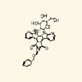 O=C1c2c(c3c4cccnc4n([C@@H]4O[C@H](CO)[C@@H](O)[C@H](O)[C@H]4O)c3c3[nH]c4ncccc4c23)C(=O)N1COCc1ccccc1